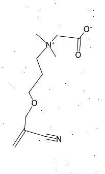 C=C(C#N)COCCC[N+](C)(C)CC(=O)[O-]